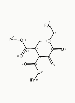 C=C(C(=O)OCC(F)(F)F)C(C(=O)OC(C)C)C(C)C(=O)OC(C)C